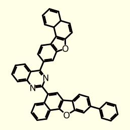 C1=CC2C=Cc3oc4cc(-c5nc(-c6cc7c8ccc(-c9ccccc9)cc8oc7c7ccccc67)nc6ccccc56)ccc4c3C2C=C1